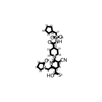 N#Cc1cc(C(O)=S)c(CN2CCCC2=O)nc1N1CCC(C(=O)NS(=O)(=O)CC2CCCC2)CC1